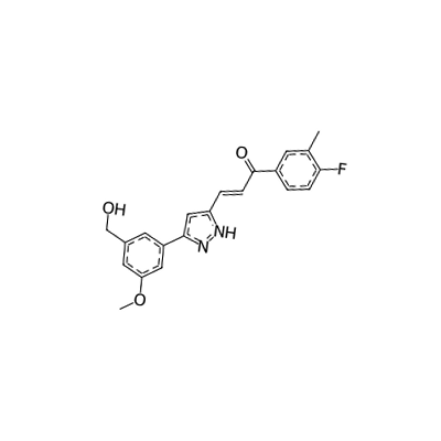 COc1cc(CO)cc(-c2cc(/C=C/C(=O)c3ccc(F)c(C)c3)[nH]n2)c1